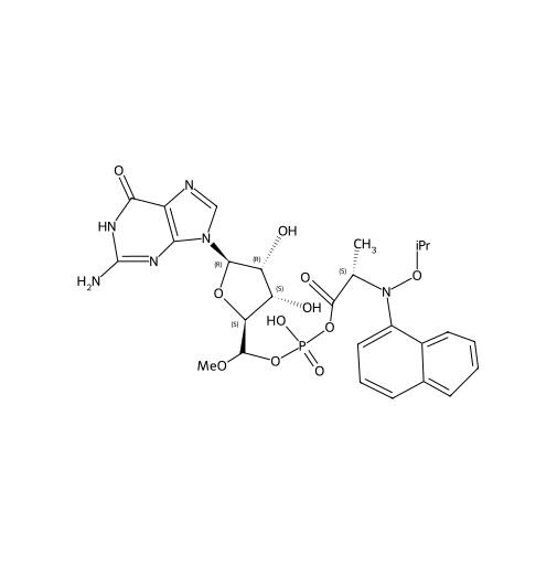 COC(OP(=O)(O)OC(=O)[C@H](C)N(OC(C)C)c1cccc2ccccc12)[C@H]1O[C@@H](n2cnc3c(=O)[nH]c(N)nc32)[C@H](O)[C@@H]1O